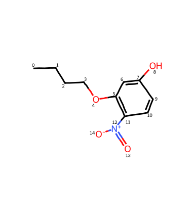 CCCCOc1cc(O)ccc1[N+](=O)[O-]